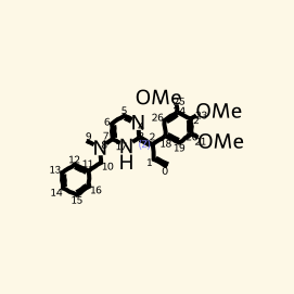 C=C/C(=C1/N=CC=C(N(C)Cc2ccccc2)N1)c1cc(OC)c(OC)c(OC)c1